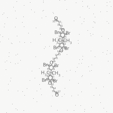 CC(C)(c1cc(Br)c(OCCCCCCOc2c(Br)cc(C(C)(C)c3cc(Br)c(OCCCCC4CO4)c(Br)c3)cc2Br)c(Br)c1)c1cc(Br)c(OCCCCC2CO2)c(Br)c1